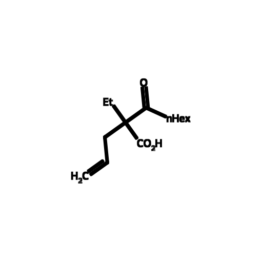 C=CCC(CC)(C(=O)O)C(=O)CCCCCC